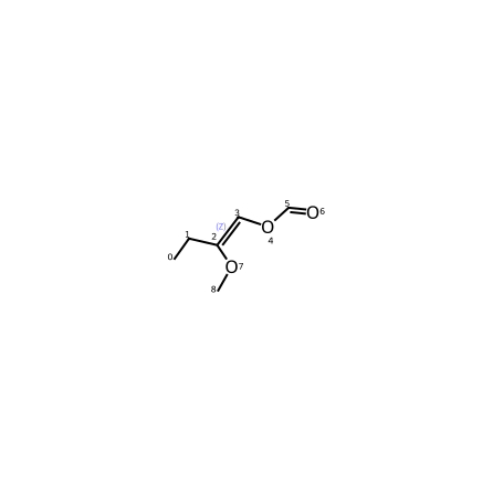 CC/C(=C/OC=O)OC